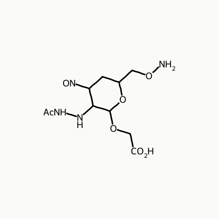 CC(=O)NNC1C(N=O)CC(CON)OC1OCC(=O)O